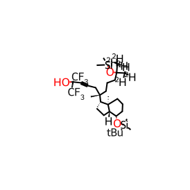 [2H]C([2H])([2H])C(CCC[C@@](C)(CC#CC(O)(C(F)(F)F)C(F)(F)F)[C@H]1CC[C@H]2[C@@H](O[Si](C)(C)C(C)(C)C)CCC[C@]12C)(O[Si](C)(C)C)C([2H])([2H])[2H]